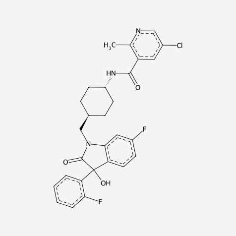 Cc1ncc(Cl)cc1C(=O)N[C@H]1CC[C@H](CN2C(=O)C(O)(c3ccccc3F)c3ccc(F)cc32)CC1